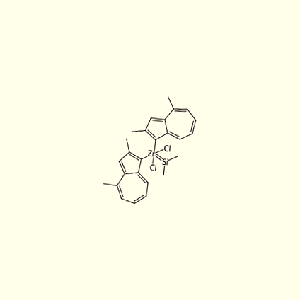 Cc1ccccc2[c]([Zr]([Cl])([Cl])([c]3c(C)cc4c(C)ccccc3-4)=[Si](C)C)c(C)cc1-2